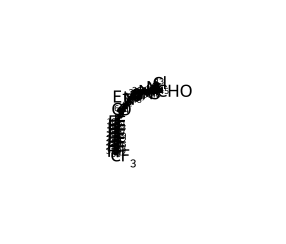 CCN(CCOC(=O)CCC(F)(F)C(F)(F)C(F)(F)C(F)(F)C(F)(F)C(F)(F)C(F)(F)C(F)(F)C(F)(F)F)c1ccc(/N=N/c2nc(Cl)c(C=O)s2)cc1